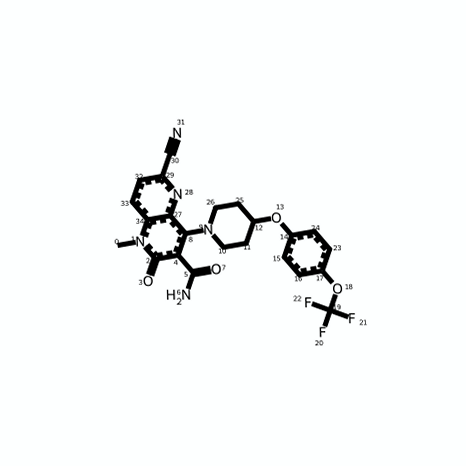 Cn1c(=O)c(C(N)=O)c(N2CCC(Oc3ccc(OC(F)(F)F)cc3)CC2)c2nc(C#N)ccc21